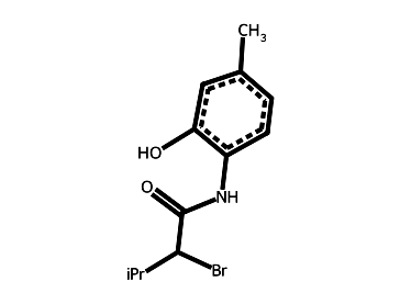 Cc1ccc(NC(=O)C(Br)C(C)C)c(O)c1